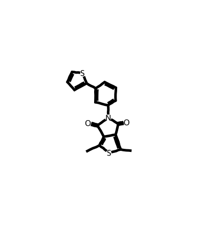 Cc1sc(C)c2c1C(=O)N(c1cccc(-c3cccs3)c1)C2=O